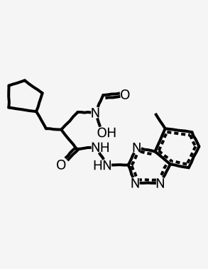 Cc1cccc2nnc(NNC(=O)C(CC3CCCC3)CN(O)C=O)nc12